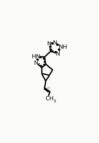 C/C=C/C1C2Cc3c(n[nH]c3-c3nn[nH]n3)C12